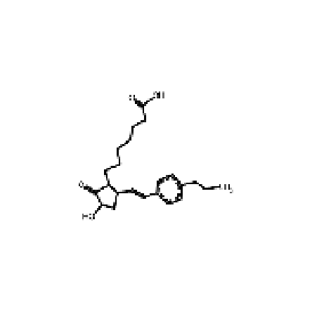 CCCc1ccc(/C=C/C2CC(O)C(=O)C2CCCCCCC(=O)O)cc1